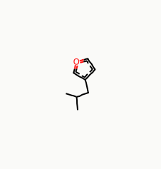 CC(C)Cc1ccoc1